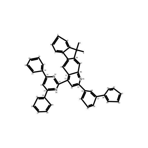 CC1(C)c2ccccc2-c2cc3c(-c4nc(-c5ccccc5)cc(-c5ccccc5)n4)cc(-c4cccc(-c5ccccc5)c4)nc3cc21